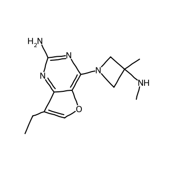 CCc1coc2c(N3CC(C)(NC)C3)nc(N)nc12